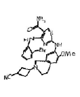 COc1cc2c(cc1Nc1ncc(C(N)=O)c(Nc3ccccc3Br)n1)CN(C1CC(C#N)C1)CC2